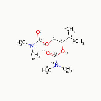 CC(C)C(COC(=O)N(C)C)OC(=O)N(C)C